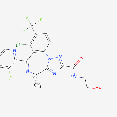 C[C@@H]1N=C(c2ncccc2F)c2c(ccc(C(F)(F)F)c2Cl)-n2nc(C(=O)NCCO)nc21